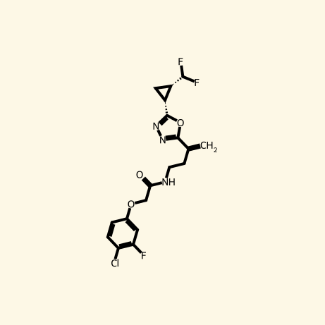 C=C(CCNC(=O)COc1ccc(Cl)c(F)c1)c1nnc([C@@H]2C[C@@H]2C(F)F)o1